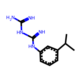 CC(C)c1cccc(NC(=N)NC(=N)N)c1